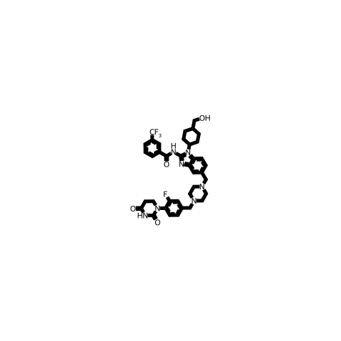 O=C1CCN(c2ccc(CN3CCN(Cc4ccc5c(c4)nc(NC(=O)c4cccc(C(F)(F)F)c4)n5C4CCC(CO)CC4)CC3)cc2F)C(=O)N1